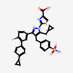 NS(=O)(=O)c1ccc(Cc2c(-c3ccc(F)c(-c4ccc(C5CC5)cc4)c3)nn(-c3nc(C(=O)O)cs3)c2CC2CC2)cc1